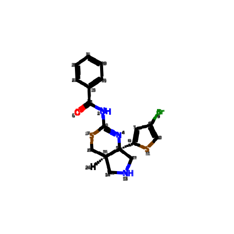 O=C(NC1=N[C@@]2(c3cc(Br)cs3)CNC[C@H]2CS1)c1ccccc1